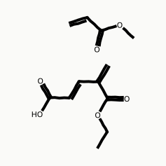 C=C(C=CC(=O)O)C(=O)OCC.C=CC(=O)OC